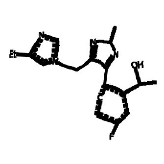 CCc1cn(CC2=NC(C)N=C2c2ccc(F)cc2C(C)O)cn1